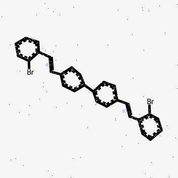 Brc1ccccc1/C=C/c1ccc(-c2ccc(/C=C/c3ccccc3Br)cc2)cc1